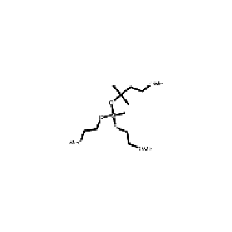 COCCO[Si](C)(OCCOC)OC(C)(C)CCOC